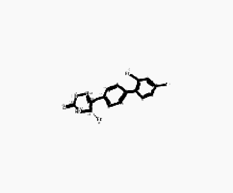 CCc1cc(F)ccc1-c1ccc(C2=NNC(=O)N[C@H]2CC)cc1